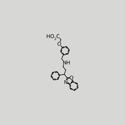 O=C(O)COc1cccc(CNCCC(c2ccccc2)c2nc3ccccc3o2)c1